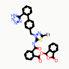 CCc1nn(Cc2ccc(-c3ccccc3-c3nnn[nH]3)cc2)c(=NC(=O)c2ccccc2C(=O)OC2OC(=O)c3ccccc32)s1